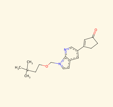 C[Si](C)(C)CCOCn1ccc2cc(C3=CC(=O)CC3)cnc21